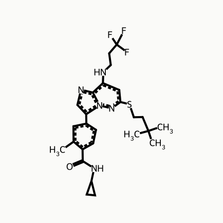 Cc1cc(-c2cnc3c(NCCC(F)(F)F)cc(SCCC(C)(C)C)nn23)ccc1C(=O)NC1CC1